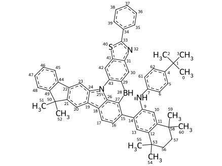 CC(C)(C)c1ccc(Nc2cc3c(cc2-c2ccc4c5cc6c(cc5n5c4c2Bc2cc4nc(-c7ccccc7)sc4cc2-5)-c2ccccc2C6(C)C)C(C)(C)CCC3(C)C)cc1